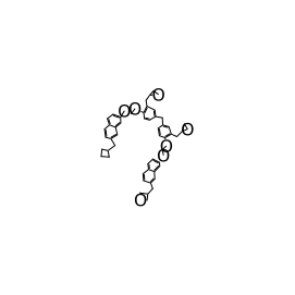 c1cc(OCOc2ccc3ccc(CC4CCC4)cc3c2)c(CC2CO2)cc1Cc1ccc(OCOc2ccc3ccc(CC4COC4)cc3c2)c(CC2CO2)c1